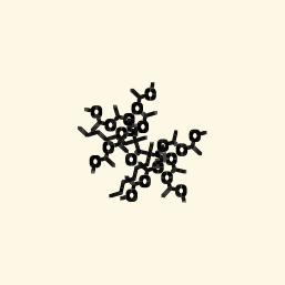 CCCCCCC(C)(C(=O)C(C)(CCCCCC)[Si](OC(C)OC(C)OC)(OC(C)OC(C)OC)OC(C)OC(C)OC)[Si](OC(C)OC(C)OC)(OC(C)OC(C)OC)OC(C)OC(C)OC